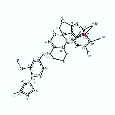 COc1cc(/C=C2\CCCN3C2=NOC2(COc4cc(F)ccc42)[C@@H]3c2cc(F)c(F)c(F)c2)ccc1-n1cnc(C)c1